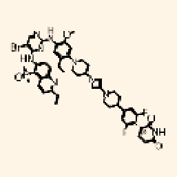 CCc1ccc2c(P(C)(C)=O)c(Nc3nc(Nc4cc(CC)c(N5CCC(N6CC(N7CCC(c8cc(F)c([C@H]9CCC(=O)NC9=O)c(F)c8)CC7)C6)CC5)cc4OC)ncc3Br)ccc2n1